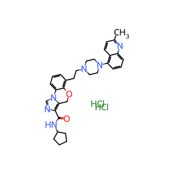 Cc1ccc2c(N3CCN(CCc4cccc5c4OCc4c(C(=O)NC6CCCC6)ncn4-5)CC3)cccc2n1.Cl.Cl